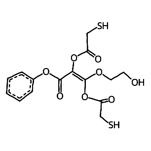 O=C(CS)OC(OCCO)=C(OC(=O)CS)C(=O)Oc1ccccc1